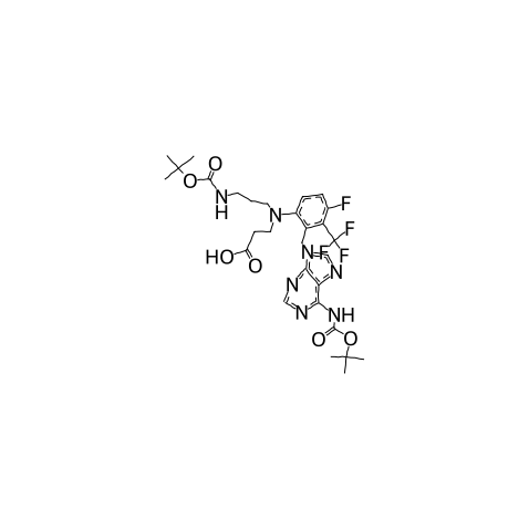 CC(C)(C)OC(=O)NCCCN(CCC(=O)O)c1ccc(F)c(C(F)(F)F)c1Cn1cnc2c(NC(=O)OC(C)(C)C)ncnc21